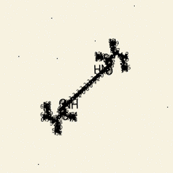 CC(C)C(CCC(C)C(CCC1CCC(C(=O)NCCCCCCCCCCCCCCCCCCCCNC(=O)C2CCC(CCC(SCCN(C)C)C(C)CCC(SCCN(C)C)C(C)C)C(SCCN(C)C)C2)CC1SCCN(C)C)SCCN(C)C)SCCN(C)C